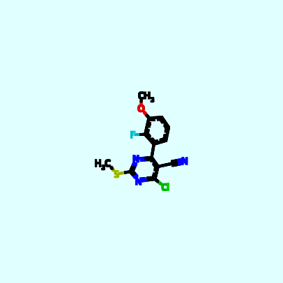 COc1cccc(-c2nc(SC)nc(Cl)c2C#N)c1F